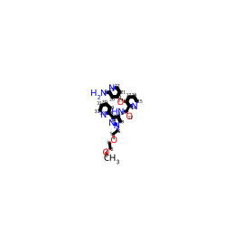 COCCOCCn1cc(NC(=O)c2ncccc2Oc2ccnc(N)c2)c(-c2ccccn2)n1